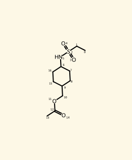 CCS(=O)(=O)NC1CCC(COC(C)=O)CC1